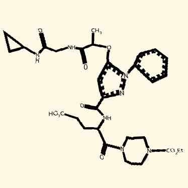 CCOC(=O)N1CCN(C(=O)C(CCC(=O)O)NC(=O)c2cc(OC(C)C(=O)NCC(=O)NC3CC3)n(-c3ccccc3)n2)CC1